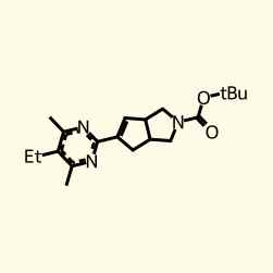 CCc1c(C)nc(C2=CC3CN(C(=O)OC(C)(C)C)CC3C2)nc1C